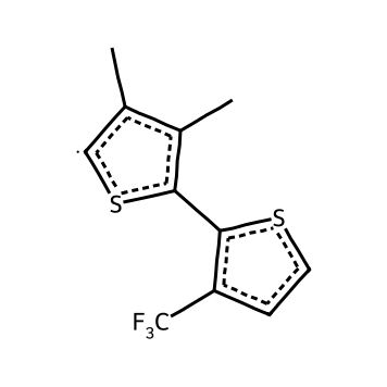 Cc1[c]sc(-c2sccc2C(F)(F)F)c1C